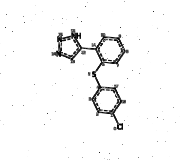 Clc1ccc(Sc2ccccc2-c2cnn[nH]2)cc1